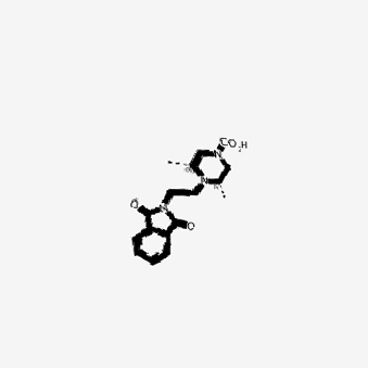 C[C@@H]1CN(C(=O)O)C[C@H](C)N1CCN1C(=O)c2ccccc2C1=O